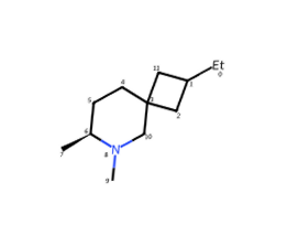 CCC1CC2(CC[C@H](C)N(C)C2)C1